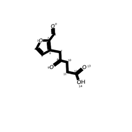 O=Cc1occc1CC(=O)CCC(=O)O